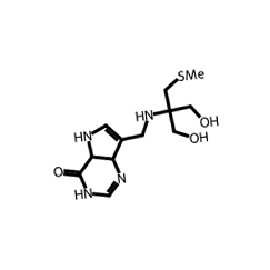 CSCC(CO)(CO)NCC1=CNC2C(=O)NC=NC12